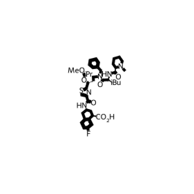 CC[C@H](C)[C@H](NC(=O)[C@H]1CCCCN1C)C(=O)N(Cc1ccccc1)[C@H](C[C@@H](OCOC)c1nc(C(=O)N[C@H]2Cc3ccc(F)cc3[C@H](C(=O)O)C2)cs1)C(C)C